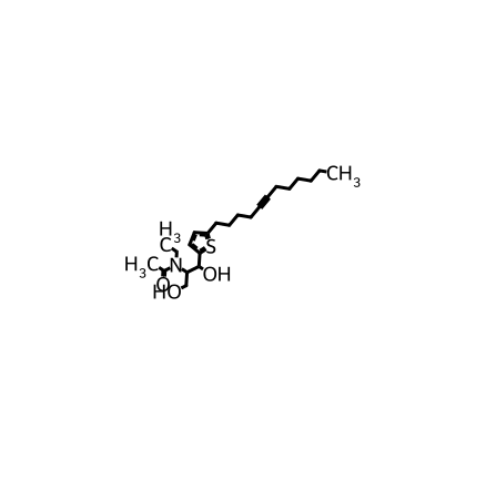 CCCCCCC#CCCCCc1ccc(C(O)C(CO)N(CC)C(C)=O)s1